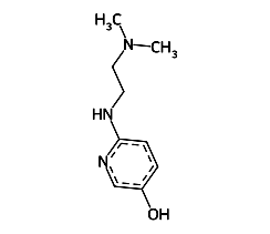 CN(C)CCNc1ccc(O)cn1